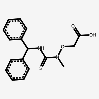 CN(OCC(=O)O)C(=S)NC(c1ccccc1)c1ccccc1